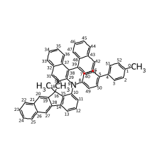 Cc1ccc(-c2ccc(N(c3cccc4c3C(C)(C)c3cc5ccccc5cc3-4)c3ccc4ccccc4c3-c3cccc4ccccc34)cc2)cc1